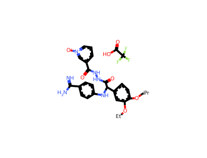 CCOc1cc(C(Nc2ccc(C(=N)N)cc2)C(=O)NNC(=O)c2ccc[n+]([O-])c2)ccc1OC(C)C.O=C(O)C(F)(F)F